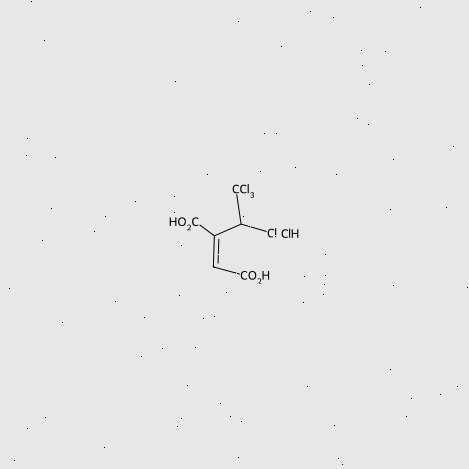 Cl.O=C(O)C=C(C(=O)O)C(Cl)C(Cl)(Cl)Cl